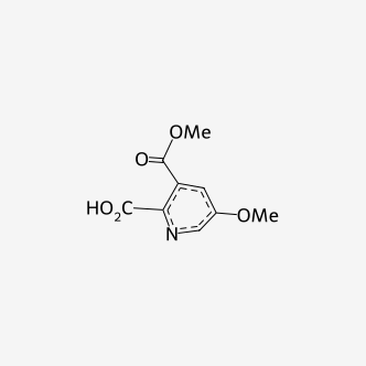 COC(=O)c1cc(OC)cnc1C(=O)O